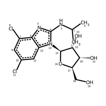 CC(C)Nc1nc2c(Cl)cc(Cl)cc2n1[C@@H]1O[C@H](CO)[C@@H](O)[C@H]1O